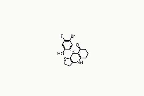 O=C1CCCC2=C1[C@@H](c1cc(Br)c(F)cc1O)C1=C(CCS1)N2